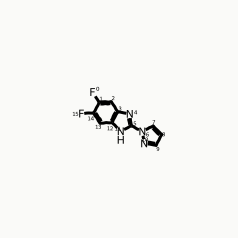 Fc1cc2nc(-n3cccn3)[nH]c2cc1F